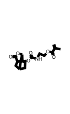 C=C(C)C(=O)OCCNC(=O)OC1C2CCC3C(C2)C(=O)OC31